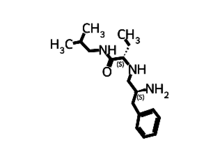 CC[C@H](NC[C@@H](N)Cc1ccccc1)C(=O)NCC(C)C